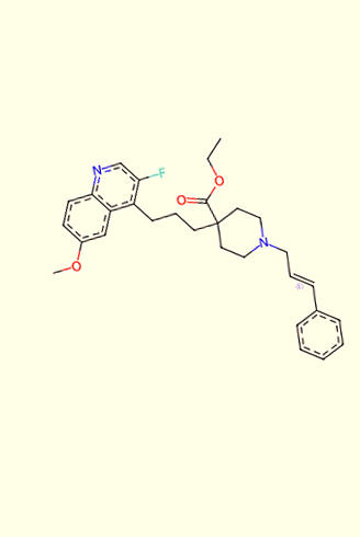 CCOC(=O)C1(CCCc2c(F)cnc3ccc(OC)cc23)CCN(C/C=C/c2ccccc2)CC1